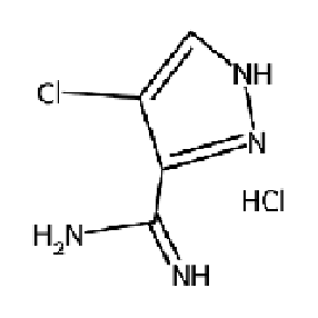 Cl.N=C(N)c1n[nH]cc1Cl